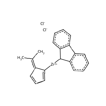 CC(C)=C1C=CC=[C]1[Zr+2][CH]1c2ccccc2-c2ccccc21.[Cl-].[Cl-]